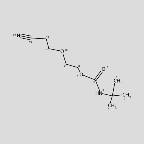 CC(C)(C)NC(=O)OCCOCCC#N